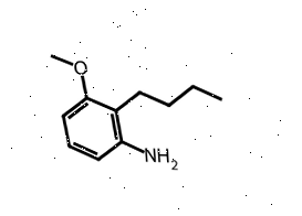 CCCCc1c(N)cccc1OC